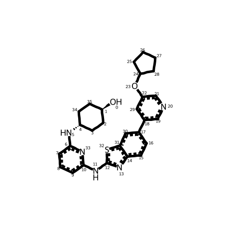 O[C@H]1CC[C@H](Nc2cccc(Nc3nc4ccc(-c5cncc(OC6CCCC6)c5)cc4s3)n2)CC1